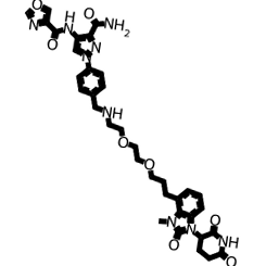 Cn1c(=O)n(C2CCC(=O)NC2=O)c2cccc(CCCOCCOCCNCc3ccc(-n4cc(NC(=O)c5cocn5)c(C(N)=O)n4)cc3)c21